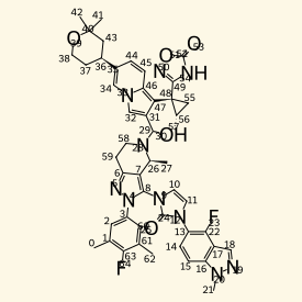 Cc1cc(-n2nc3c(c2-n2ccn(-c4ccc5c(cnn5C)c4F)c2=O)[C@H](C)N(C(O)c2cn4cc([C@H]5CCOC(C)(C)C5)ccc4c2[C@@]2(c4noc(=O)[nH]4)C[C@@H]2C)CC3)cc(C)c1F